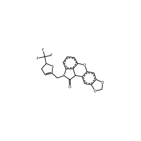 O=C1C2c3cc4c(cc3Oc3cccc(c32)N1CC1=CCC(C(F)(F)F)S1)OCO4